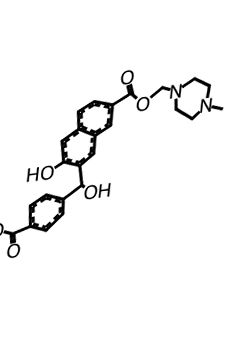 CN1CCN(COC(=O)c2ccc3cc(O)c(C(O)c4ccc(C(=O)O)cc4)cc3c2)CC1